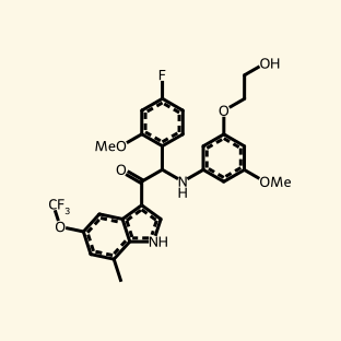 COc1cc(NC(C(=O)c2c[nH]c3c(C)cc(OC(F)(F)F)cc23)c2ccc(F)cc2OC)cc(OCCO)c1